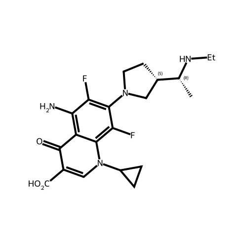 CCN[C@H](C)[C@H]1CCN(c2c(F)c(N)c3c(=O)c(C(=O)O)cn(C4CC4)c3c2F)C1